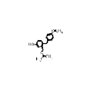 COc1ccc(Cc2ccc(O)cc2COC(C)C)cc1